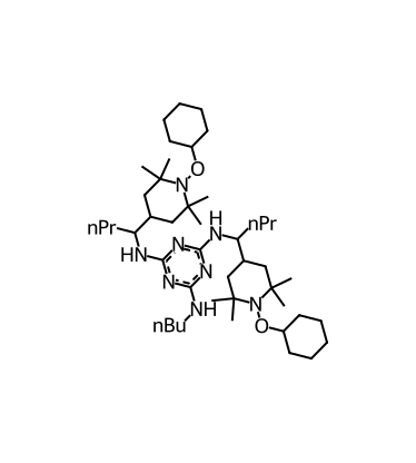 CCCCNc1nc(NC(CCC)C2CC(C)(C)N(OC3CCCCC3)C(C)(C)C2)nc(NC(CCC)C2CC(C)(C)N(OC3CCCCC3)C(C)(C)C2)n1